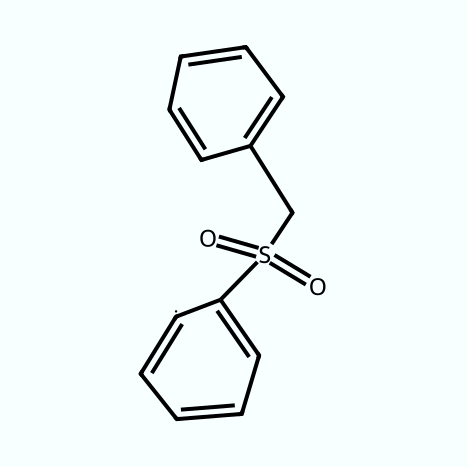 O=S(=O)(Cc1ccccc1)c1[c]cccc1